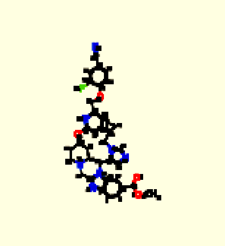 COC(=O)c1ccc2nc(CN3CCC(Oc4cccc(COc5ccc(C#N)cc5F)n4)CC3)n(Cc3cncn3CC3CC3)c2c1